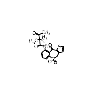 CC(=O)C(C)(C)C(=O)Nc1cccc2c1C(=O)c1sccc1CS2(=O)=O